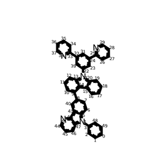 c1ccc(-n2c3ccc(-c4cccc5c4c4ccccc4n5-c4cc(-c5ccccn5)cc(-c5ccccn5)c4)cc3c3ncccc32)cc1